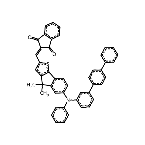 CC1(C)c2cc(N(c3ccccc3)c3cccc(-c4ccc(-c5ccccc5)cc4)c3)ccc2-c2sc(C=C3C(=O)c4ccccc4C3=O)cc21